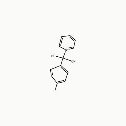 Cc1ccc(C(C#N)(C#N)[n+]2ccccc2)cc1